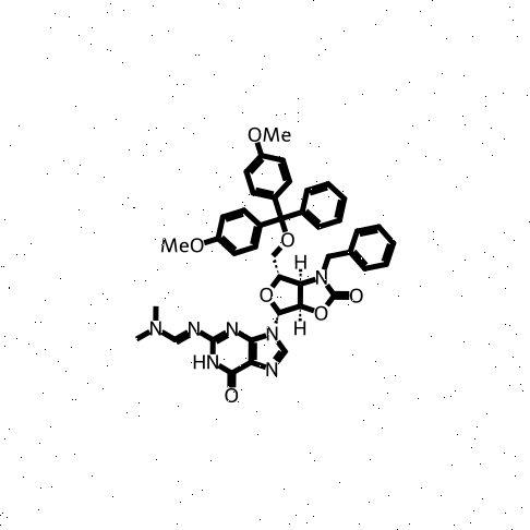 COc1ccc(C(OC[C@H]2O[C@@H](n3cnc4c(=O)[nH]c(/N=C/N(C)C)nc43)[C@@H]3OC(=O)N(Cc4ccccc4)[C@@H]32)(c2ccccc2)c2ccc(OC)cc2)cc1